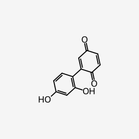 O=C1C=CC(=O)C(c2ccc(O)cc2O)=C1